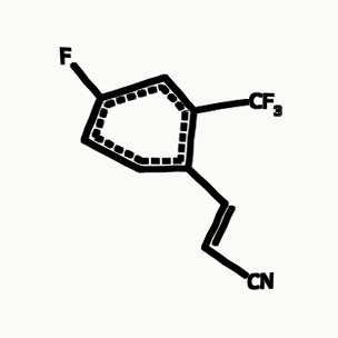 N#CC=Cc1ccc(F)cc1C(F)(F)F